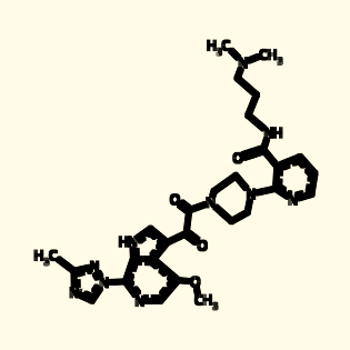 COc1cnc(-n2cnc(C)n2)c2[nH]cc(C(=O)C(=O)N3CCN(c4ncccc4C(=O)NCCCN(C)C)CC3)c12